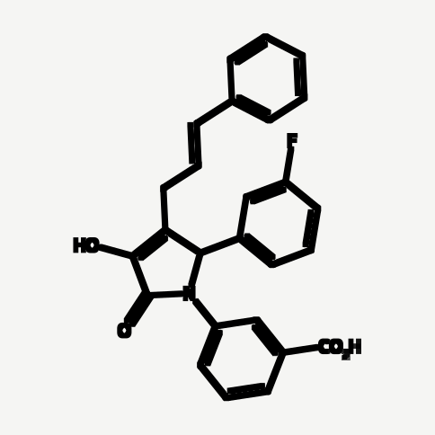 O=C(O)c1cccc(N2C(=O)C(O)=C(CC=Cc3ccccc3)C2c2cccc(F)c2)c1